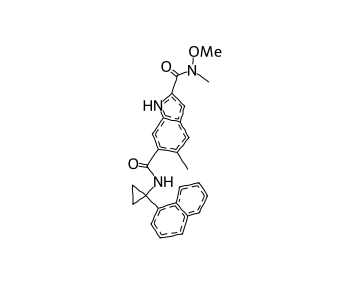 CON(C)C(=O)c1cc2cc(C)c(C(=O)NC3(c4cccc5ccccc45)CC3)cc2[nH]1